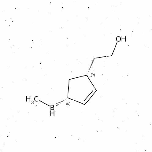 CB[C@H]1C=C[C@@H](CCO)C1